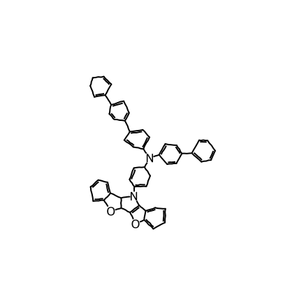 C1=CC(c2ccc(-c3ccc(N(c4ccc(-c5ccccc5)cc4)C4C=CC(N5c6c(oc7ccccc67)C6Oc7ccccc7C65)=CC4)cc3)cc2)=CCC1